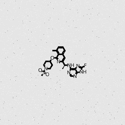 Cc1cccc2cc([C@H](C)Nc3ncnc4[nH]c(F)nc34)nc(OC3CCN(S(C)(=O)=O)CC3)c12